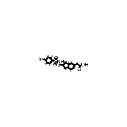 O=C(O)Cc1ccc2c(c1)CC(CNS(=O)(=O)c1ccc(Br)cc1)C2